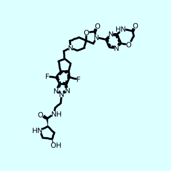 O=C1COc2ncc(N3CC4(CCN(CC5Cc6c(c(F)c7nn(CCNC(=O)[C@H]8C[C@H](O)CN8)nc7c6F)C5)CC4)OC3=O)nc2N1